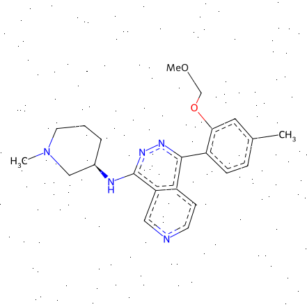 COCOc1cc(C)ccc1-c1nnc(N[C@@H]2CCCN(C)C2)c2cnccc12